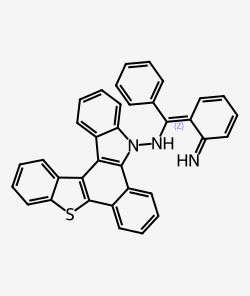 N=C1C=CC=C/C1=C(/Nn1c2ccccc2c2c3c4ccccc4sc3c3ccccc3c21)c1ccccc1